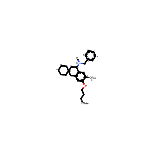 COCCCOc1cc2c(cc1OC)C(N(C)Cc1ccccc1)CC1(CCCCC1)C2